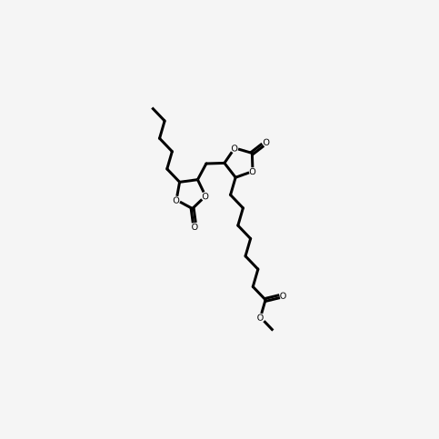 CCCCCC1OC(=O)OC1CC1OC(=O)OC1CCCCCCCC(=O)OC